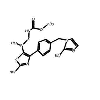 CCCCOC(=O)NSN(O)c1sc(CCC)nc1-c1ccc(Cn2ccnc2C(C)(C)C)cc1